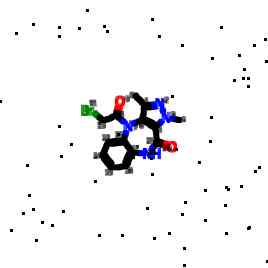 Cc1nn(C)c2c1N(C(=O)CBr)c1ccccc1NC2=O